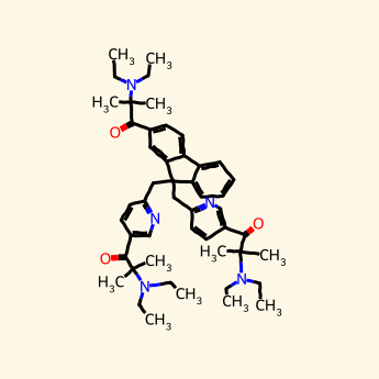 CCN(CC)C(C)(C)C(=O)c1ccc(CC2(Cc3ccc(C(=O)C(C)(C)N(CC)CC)cn3)c3ccccc3-c3ccc(C(=O)C(C)(C)N(CC)CC)cc32)nc1